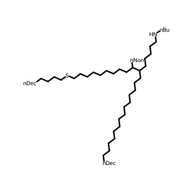 CCCCCCCCCCCCCCCCCCCCCCCCC(CCCCCNCCCC)C(CCCCCCCCC)CCCCCCCCCSCCCCCCCCCCCCCC